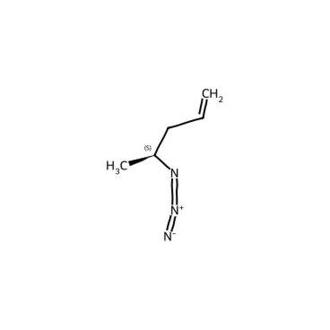 C=CC[C@H](C)N=[N+]=[N-]